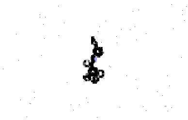 COc1cc(C(=O)/C=C/c2cccc(C#N)c2)cc(OC)c1OC